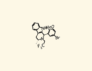 COc1ccc(Br)cc1[C@@H]1c2[nH]c3ccccc3c2C[C@@H](C)N1CC(F)(F)F